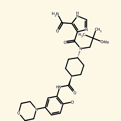 COC(C)(C)CN(C(=O)c1nc[nH]c1C(N)=O)[C@H]1CC[C@H](C(=O)Nc2cc(N3CCOCC3)ccc2Cl)CC1